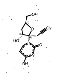 C#CC[C@@]1(n2ccc(N)nc2=O)O[C@H](CO)C[C@H]1O